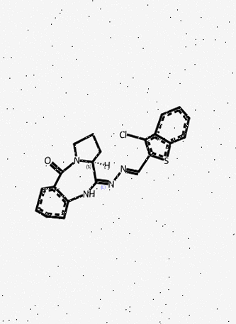 O=C1c2ccccc2N/C(=N/N=Cc2sc3ccccc3c2Cl)[C@@H]2CCCN12